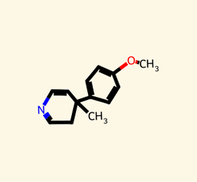 COc1ccc(C2(C)C=CN=CC2)cc1